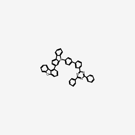 c1ccc(-c2nc(-c3ccccc3)nc(-c3cccc(-c4ccc(-n5c6ccccc6c6ccc(-c7cccc8oc9ccccc9c78)cc65)cc4)c3)n2)cc1